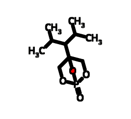 CC(C)C(C(C)C)C12COP(=O)(OC1)OC2